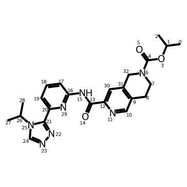 CC(C)OC(=O)N1CCc2cnc(C(=O)Nc3cccc(-c4nncn4C(C)C)n3)cc2C1